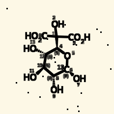 O=C(O)C(O)(C(=O)O)[C@H]1O[13C@@H](O)[C@H](O)[C@@H](O)[C@@H]1O